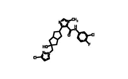 Cn1cnc(C2CC3CC(O)(Cn4ccc(Cl)n4)CC3C2)c1C(=O)Nc1ccc(F)c(Cl)c1